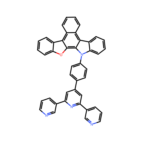 c1cncc(-c2cc(-c3ccc(-n4c5ccccc5c5c6ccccc6c6c7ccccc7oc6c54)cc3)cc(-c3cccnc3)n2)c1